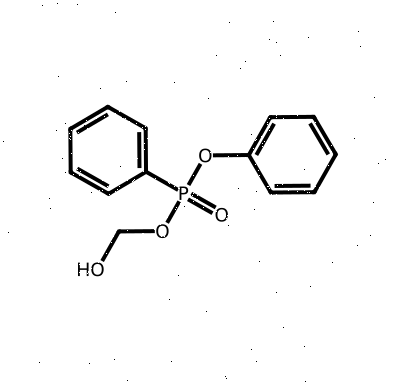 O=P(OCO)(Oc1ccccc1)c1ccccc1